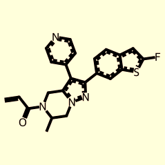 C=CC(=O)N1Cc2c(-c3ccncc3)c(-c3ccc4cc(F)sc4c3)nn2CC1C